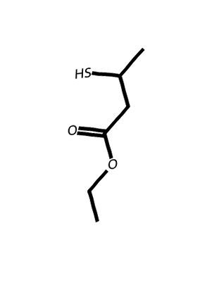 CCOC(=O)CC(C)S